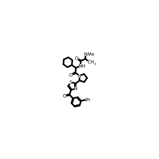 CNC(C)C(=O)NC(C(=O)N1CCCC1c1nc(C(=O)c2cccc(C(C)C)c2)cs1)C1CCCCC1